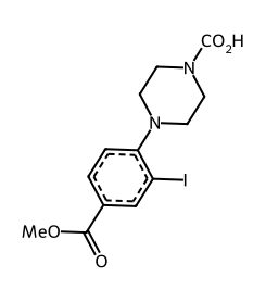 COC(=O)c1ccc(N2CCN(C(=O)O)CC2)c(I)c1